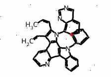 C=Cc1c(/C=C\C)n(-c2cccc3cncnc23)c2c1c1cccnc1c1c3ccccc3n(-c3ccccc3)c12